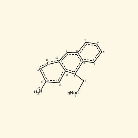 CCCCCCCCCCc1c2ccccc2cc2ccc(N)cc12